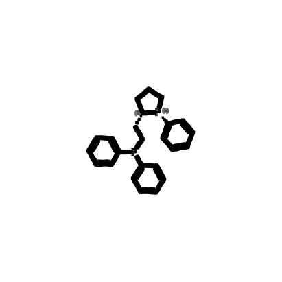 c1ccc(P(CC[C@@H]2CCC[P@]2c2ccccc2)c2ccccc2)cc1